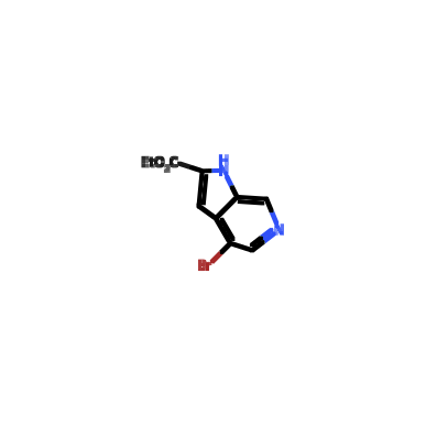 CCOC(=O)c1cc2c(Br)cncc2[nH]1